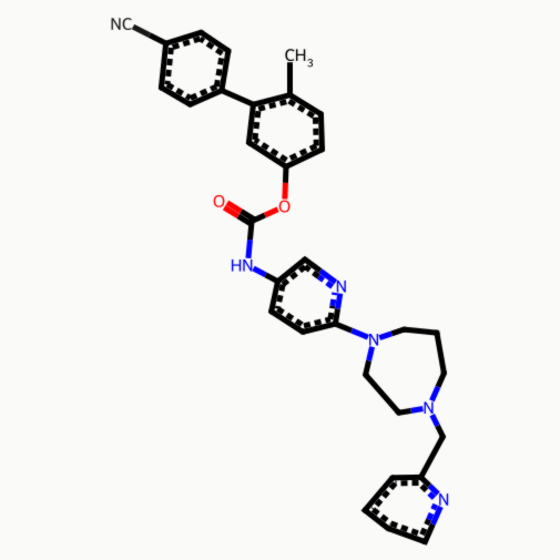 Cc1ccc(OC(=O)Nc2ccc(N3CCCN(Cc4ccccn4)CC3)nc2)cc1-c1ccc(C#N)cc1